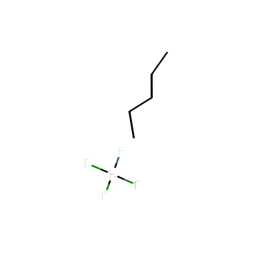 F[B-](F)(F)F.[CH2]CCCC